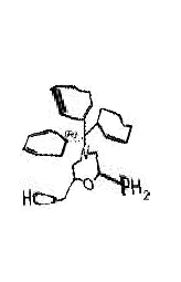 OCC1CN(C(C2=CCCC=C2)(C2C=CCCC2)[C@H]2C=CC=CC2)CC(P)O1